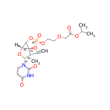 C#C[C@@]1(C)[C@H](n2ccc(=O)[nH]c2=O)O[C@@H]2C3O[P@@](=O)(OCCOCC(=O)OC(C)C)O[C@]321